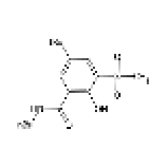 CCCCNC(=O)c1cc(C(C)(C)C)cc(S(C)(=O)=O)c1O